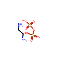 NCCN.O=S(=O)(O)OS(=O)(=O)O